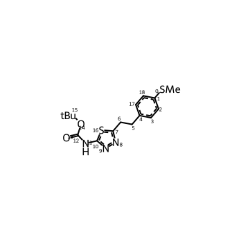 CSc1ccc(CCc2nnc(NC(=O)OC(C)(C)C)s2)cc1